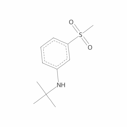 CC(C)(C)Nc1cccc(S(C)(=O)=O)c1